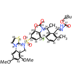 COc1ccc(CN(c2nccs2)S(=O)(=O)c2cc(F)c3c(c2)oc(=O)n3C(C)c2cccc(C)c2CNC(=O)OC(C)(C)C)c(OC)c1